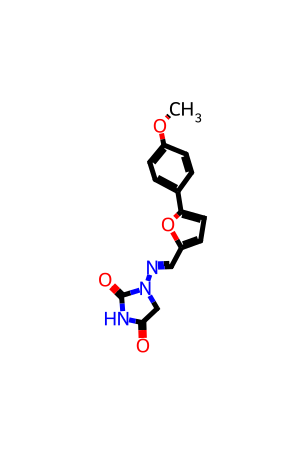 COc1ccc(-c2ccc(C=NN3CC(=O)NC3=O)o2)cc1